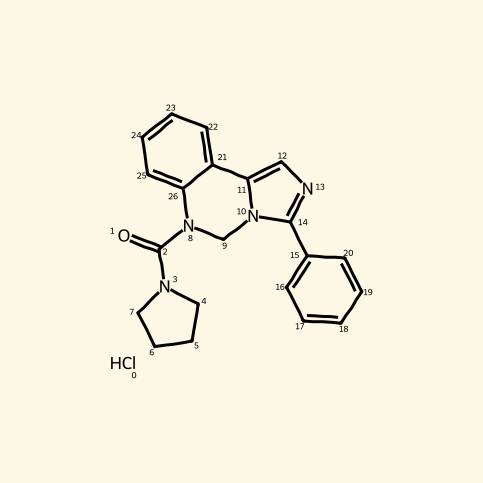 Cl.O=C(N1CCCC1)N1Cn2c(cnc2-c2ccccc2)-c2ccccc21